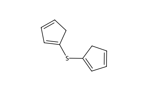 C1=CCC(SC2=CC=CC2)=C1